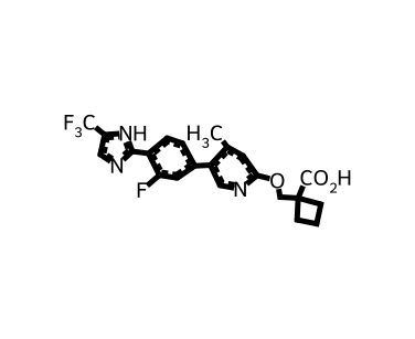 Cc1cc(OCC2(C(=O)O)CCC2)ncc1-c1ccc(-c2ncc(C(F)(F)F)[nH]2)c(F)c1